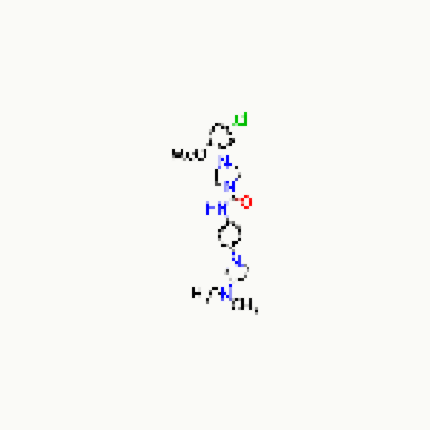 COc1ccc(Cl)cc1N1CCN(C(=O)Nc2ccc(N3CCC(N(C)C)C3)cc2)CC1